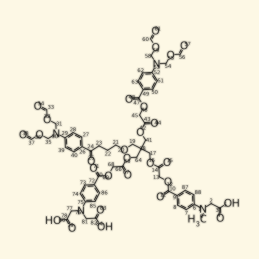 CN(CC(=O)O)c1ccc(C(=O)OCC(=O)OCC(COCCCC(=O)c2ccc(N(COC=O)COC=O)cc2)(COC(=O)COC(=O)c2ccc(N(COC=O)COC=O)cc2)COC(=O)COC(=O)c2ccc(N(CC(=O)O)CC(=O)O)cc2)cc1